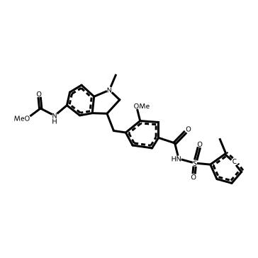 COC(=O)Nc1ccc2c(c1)C(Cc1ccc(C(=O)NS(=O)(=O)c3ccccc3C)cc1OC)CN2C